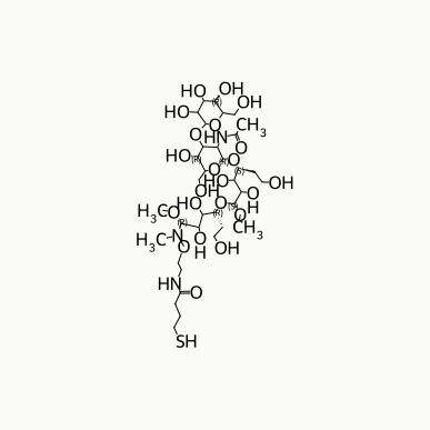 CO[C@@H](O[C@H](CCO)C(O)C(O)[C@@H](OC)N(C)OCCNC(=O)CCCS)C(O)C(O)[C@H](CCO)O[C@@H]1OC(CO)[C@H](O)C(OC2OC(CO)[C@H](O)C(O)C2O)C1NC(C)=O